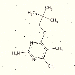 Cc1nc(N)nc(OCC(C)(C)C)c1C